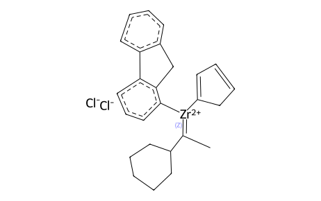 C/[C](C1CCCCC1)=[Zr+2](\[C]1=CC=CC1)[c]1cccc2c1Cc1ccccc1-2.[Cl-].[Cl-]